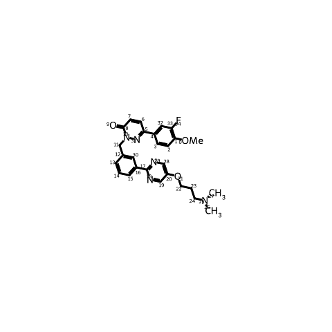 COc1ccc(-c2ccc(=O)n(Cc3cccc(-c4ncc(OCCCN(C)C)cn4)c3)n2)cc1F